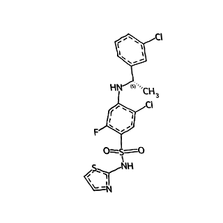 C[C@H](Nc1cc(F)c(S(=O)(=O)Nc2nccs2)cc1Cl)c1cccc(Cl)c1